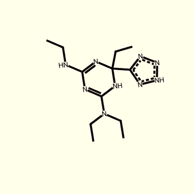 CCNC1=NC(CC)(c2nn[nH]n2)NC(N(CC)CC)=N1